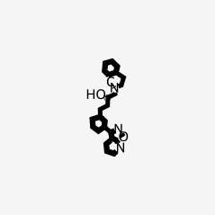 O[C@@H](CCc1cccc(-c2noc3ncccc23)c1)CN1CCc2ccccc2C1